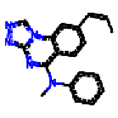 C/C=C\c1ccc2c(N(C)c3ccccc3)nc3nncn3c2c1